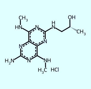 CNc1nc(NC[C@@H](C)O)nc2c(NC)nc(N)nc12.Cl